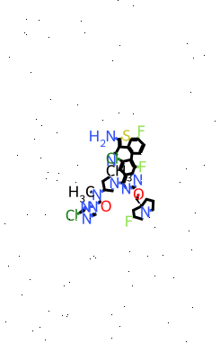 CC1CC(N(C)C(=O)n2cnc(Cl)n2)CN1c1nc(OC[C@@]23CCCN2C[C@H](F)C3)nc2c(F)c(-c3ccc(F)c4sc(N)c(C#N)c34)c(Cl)cc12